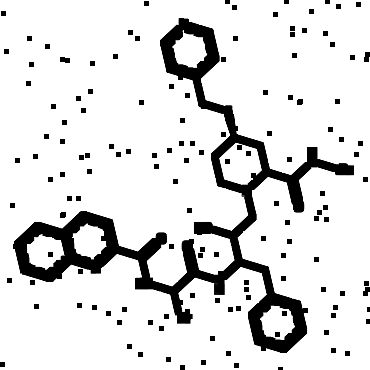 CC(C)C(NC(=O)c1ccc2ccccc2n1)C(=O)NC(Cc1ccccc1)C(O)CN1CC[C@@H](SCc2ccncc2)CC1C(=O)NC(C)(C)C